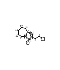 O=c1n(CCCl)nc2n1CCCCC2